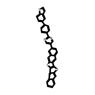 c1ccc2cc3c(cc2c1)sc1c2cc4ccc(-c5cnc(-c6ccc(-c7ccc8sccc8c7)cc6)nc5)cc4cc2sc31